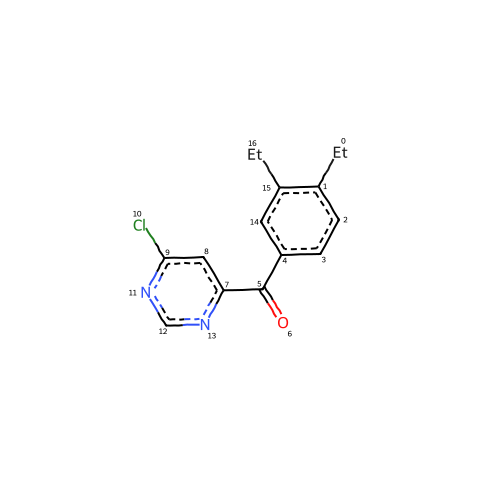 CCc1ccc(C(=O)c2cc(Cl)ncn2)cc1CC